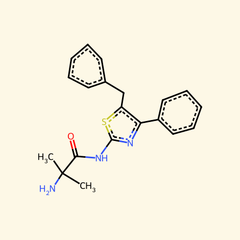 CC(C)(N)C(=O)Nc1nc(-c2ccccc2)c(Cc2ccccc2)s1